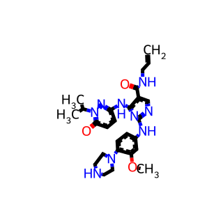 C=CCNC(=O)c1cnc(Nc2ccc(N3CCNCC3)c(OC)c2)nc1Nc1ccc(=O)n(C(C)C)n1